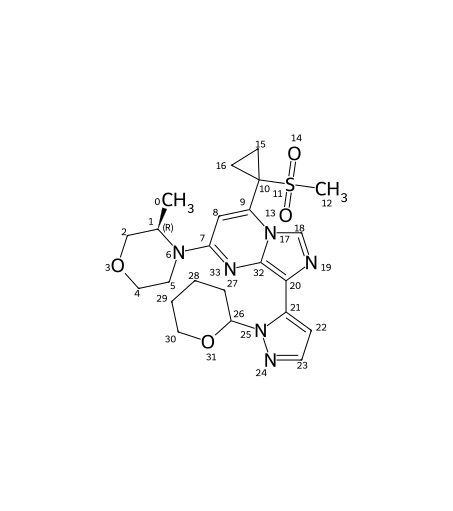 C[C@@H]1COCCN1c1cc(C2(S(C)(=O)=O)CC2)n2cnc(-c3ccnn3C3CCCCO3)c2n1